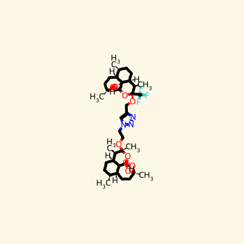 C[C@@H]1CC[C@H]2[C@@H](C)[C@@](C)(OCCn3cc(CO[C@@]4(C(F)(F)F)O[C@@H]5O[C@]6(C)CC[C@H]7[C@H](C)CC[C@@H]([C@H]4C)[C@@]57OO6)nn3)O[C@@H]3O[C@]4(C)CC[C@@H]1[C@]32OO4